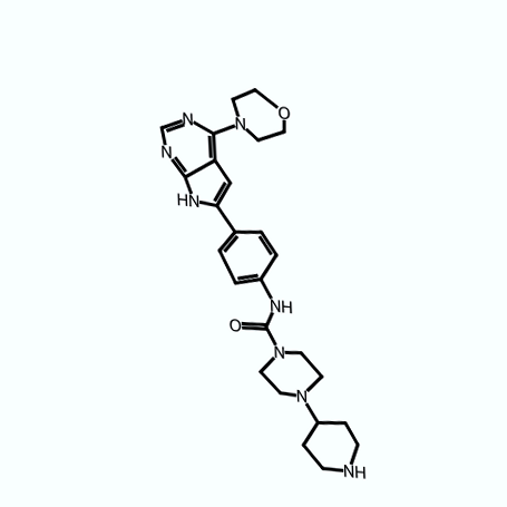 O=C(Nc1ccc(-c2cc3c(N4CCOCC4)ncnc3[nH]2)cc1)N1CCN(C2CCNCC2)CC1